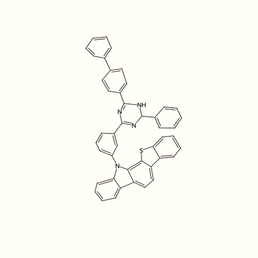 c1ccc(-c2ccc(C3=NC(c4cccc(-n5c6ccccc6c6ccc7c8ccccc8sc7c65)c4)=NC(c4ccccc4)N3)cc2)cc1